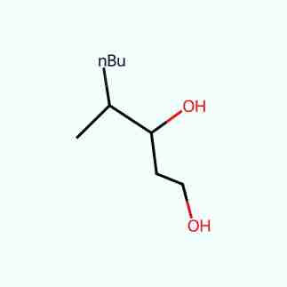 CCCCC(C)C(O)CCO